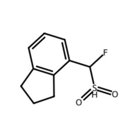 O=[SH](=O)C(F)c1cccc2c1CCC2